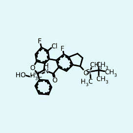 CNC(=O)c1cc2c(c(F)c1-c1c(Cl)c(F)cc3c1C[C@@](CO)(c1ccccc1)O3)CCC2O[Si](C)(C)C(C)(C)C